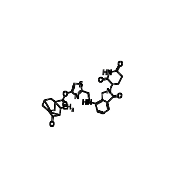 CC1C2CC3CC(CC1(C(=O)Oc1csc(CNc4cccc5c4CN(C4CCC(=O)NC4=O)C5=O)n1)C3)C2=O